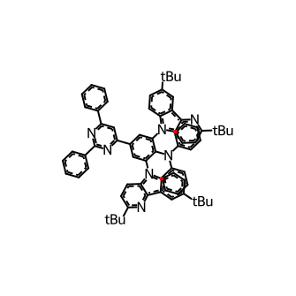 CC(C)(C)c1ccc2c(c1)c1nc(C(C)(C)C)ccc1n2-c1cc(-c2cc(-c3ccccc3)nc(-c3ccccc3)n2)cc(-n2c3ccc(C(C)(C)C)cc3c3nc(C(C)(C)C)ccc32)c1N(c1ccccc1)c1ccccc1